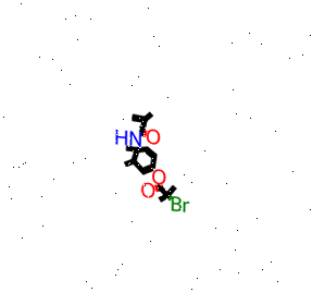 C=C(C)C(=O)NC1(C)C=CC(OC(=O)C(C)(C)Br)=CC1C